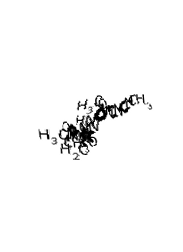 C=CCn1c(=O)c2cnc(Nc3ccc(N4CCN(C5CCN(C)CC5)CC4)c(OC)c3)nc2n1-c1ccc(=O)n(C(C)C)n1